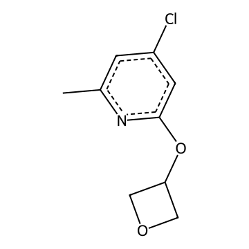 Cc1cc(Cl)cc(OC2COC2)n1